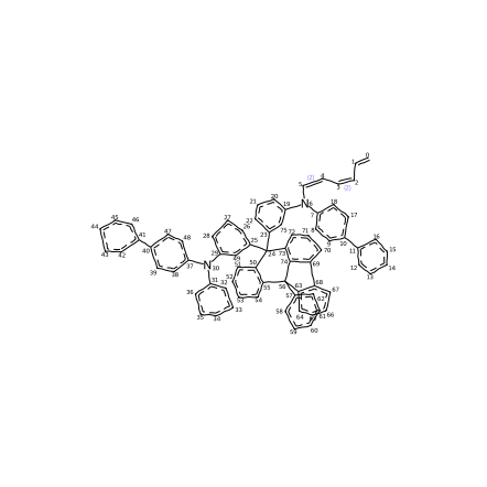 C=C/C=C\C=C/N(c1ccc(-c2ccccc2)cc1)c1cccc(C2(c3cccc(N(c4ccccc4)c4ccc(-c5ccccc5)cc4)c3)c3ccccc3C3(c4ccccc4)c4ccccc4-c4cccc2c43)c1